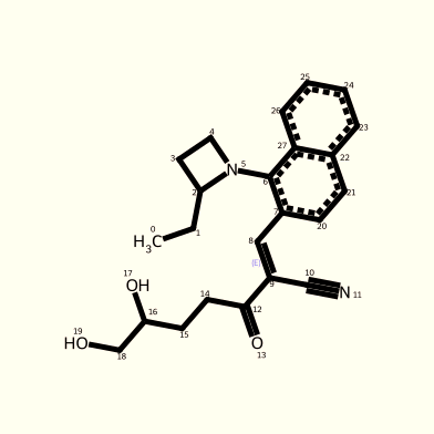 CCC1CCN1c1c(/C=C(\C#N)C(=O)CCC(O)CO)ccc2ccccc12